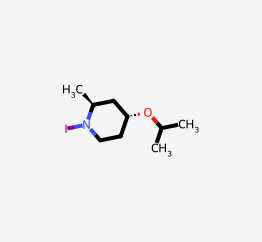 CC(C)O[C@@H]1CCN(I)[C@@H](C)C1